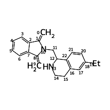 C=c1c2ccccc2c(=C)n1CC1NCCc2cc(CC)ccc21